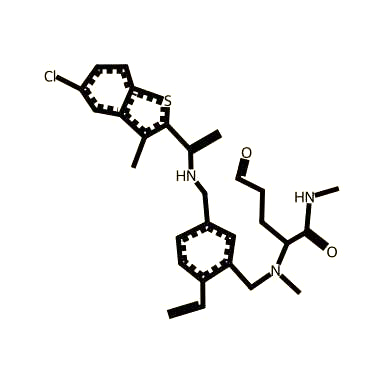 C=Cc1ccc(CNC(=C)c2sc3ccc(Cl)cc3c2C)cc1CN(C)C(CCC=O)C(=O)NC